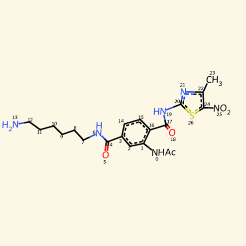 CC(=O)Nc1cc(C(=O)NCCCCCCN)ccc1C(=O)Nc1nc(C)c([N+](=O)[O-])s1